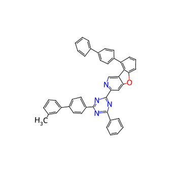 Cc1cccc(-c2ccc(-c3nc(-c4ccccc4)nc(-c4cc5oc6cccc(-c7ccc(-c8ccccc8)cc7)c6c5cn4)n3)cc2)c1